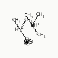 CCCCCCCC[NH+](CCCCCCCC)CCCCCCCC.CCCCCCCC[NH+](CCCCCCCC)CCCCCCCC.[O]=[Mo](=[O])([O-])[O-]